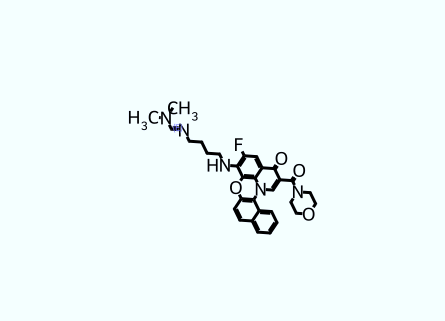 CN(C)/C=N/CCCCNc1c(F)cc2c(=O)c(C(=O)N3CCOCC3)cn3c2c1Oc1ccc2ccccc2c1-3